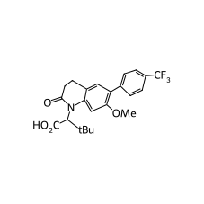 COc1cc2c(cc1-c1ccc(C(F)(F)F)cc1)CCC(=O)N2C(C(=O)O)C(C)(C)C